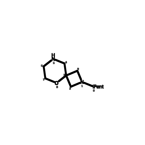 CCCC(C)N1CC2(CNCCO2)C1